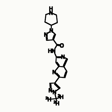 [2H]C([2H])([2H])n1cc(-c2ccc3cnc(NC(=O)c4cnn(C5CCNCC5)c4)cc3n2)cn1